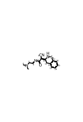 CN(C)CC=NC(=O)C(C#N)=C1Cc2ccccc2SN1